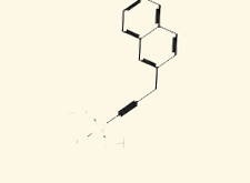 C[Si](C)(C)C#CCc1ccc2ccccc2c1